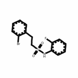 O=S(=O)(CCc1ccccc1Br)Nc1ccccc1F